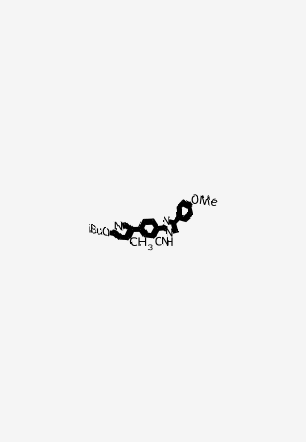 COc1ccc(-c2c[nH]c(-c3ccc(-c4cnc(OCC(C)C)cc4C)cc3C#N)n2)cc1